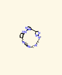 CN1CCCN(C)c2ncc(cn2)-c2ccnc(n2)Nc2cccc(c2)CN2CCN(CC1)CC2